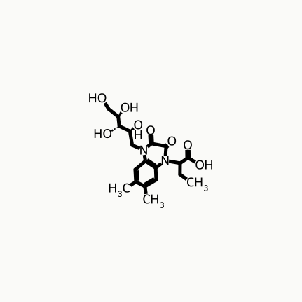 CCC(C(=O)O)n1c(=O)c(=O)n(C[C@H](O)[C@H](O)[C@H](O)CO)c2cc(C)c(C)cc21